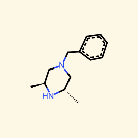 C[C@H]1CN(Cc2ccccc2)C[C@H](C)N1